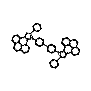 c1ccc(-c2cc3c4cccc5ccc6cccc(c6c54)c3n2-c2ccc(-c3ccc(-n4c(-c5ccccc5)cc5c6cccc7ccc8cccc(c8c76)c54)cc3)cc2)cc1